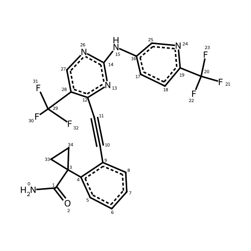 NC(=O)C1(c2ccccc2C#Cc2nc(Nc3ccc(C(F)(F)F)nc3)ncc2C(F)(F)F)CC1